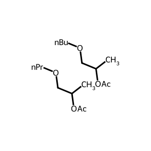 CCCCOCC(C)OC(C)=O.CCCOCC(C)OC(C)=O